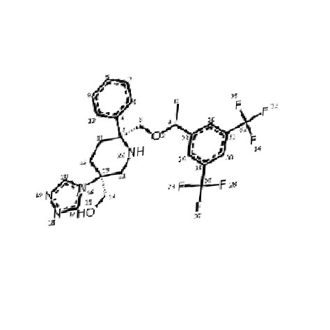 C[C@H](OC[C@@]1(c2ccccc2)CC[C@](CO)(n2cnnc2)CN1)c1cc(C(F)(F)F)cc(C(F)(F)F)c1